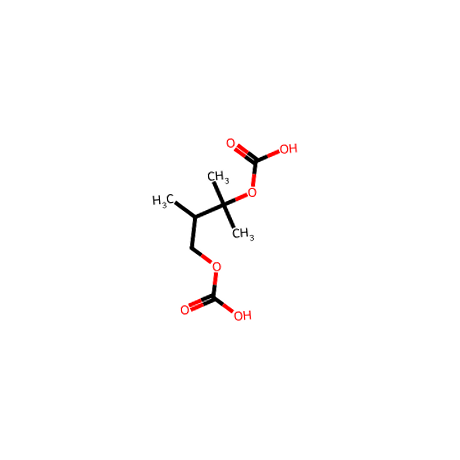 CC(COC(=O)O)C(C)(C)OC(=O)O